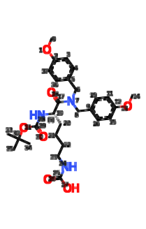 COc1ccc(CN(Cc2ccc(OC)cc2)C(=O)[C@H](CCCCNC(=O)O)NC(=O)OC(C)(C)C)cc1